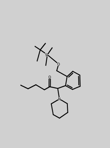 CCCCC(=O)C(c1ccccc1CO[Si](C)(C)C(C)(C)C)N1CCCCC1